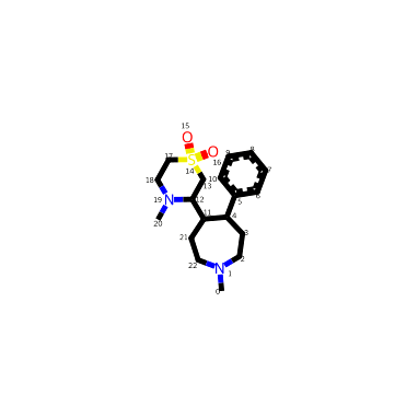 CN1CCC(c2ccccc2)C(C2CS(=O)(=O)CCN2C)CC1